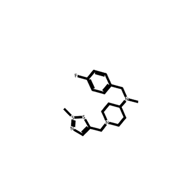 CN(Cc1ccc(F)cc1)C1CCN(CC2=CN=S(C)S2)CC1